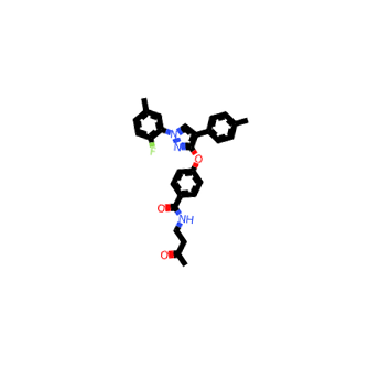 CC(=O)CCNC(=O)c1ccc(Oc2nn(-c3cc(C)ccc3F)cc2-c2ccc(C)cc2)cc1